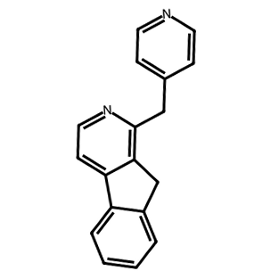 c1ccc2c(c1)Cc1c-2ccnc1Cc1ccncc1